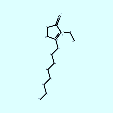 CCCCCCCCC1=[N+](CC)C(=O)CC1